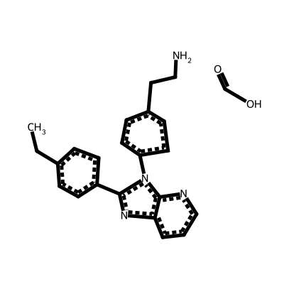 CCc1ccc(-c2nc3cccnc3n2-c2ccc(CCN)cc2)cc1.O=CO